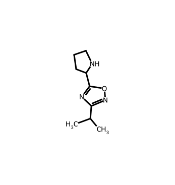 CC(C)c1noc(C2CCCN2)n1